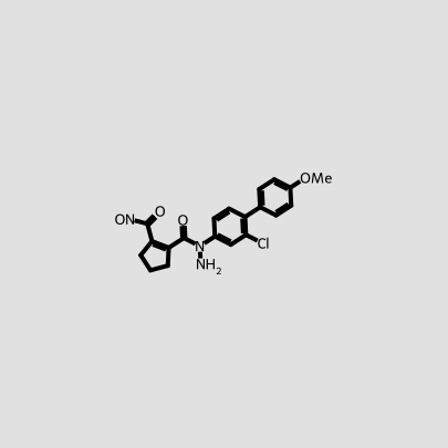 COc1ccc(-c2ccc(N(N)C(=O)C3=C(C(=O)N=O)CCC3)cc2Cl)cc1